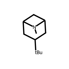 CN1C2CC1CC(C(C)(C)C)C2